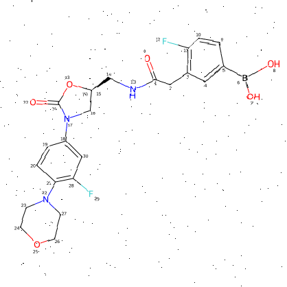 O=C(Cc1cc(B(O)O)ccc1F)NC[C@H]1CN(c2ccc(N3CCOCC3)c(F)c2)C(=O)O1